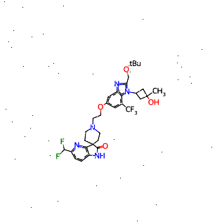 CC1(O)CC(n2c(COC(C)(C)C)nc3cc(OCCN4CCC5(CC4)C(=O)Nc4ccc(C(F)F)nc45)cc(C(F)(F)F)c32)C1